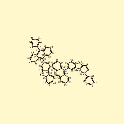 c1ccc(-c2ccc3sc4ccc(-c5c6ccccc6c(-c6cccc7oc8cc(-c9c%10ccccc%10c(-c%10ccccc%10)c%10ccccc9%10)ccc8c67)c6ccccc56)cc4c3c2)cc1